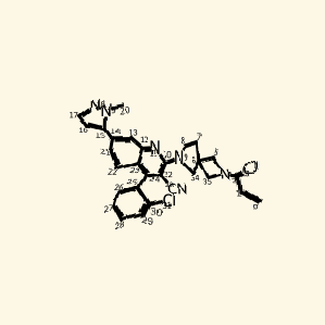 C=CC(=O)N1CC2(CCN(c3nc4cc(-c5ccnn5C)ccc4c(-c4ccccc4Cl)c3C#N)C2)C1